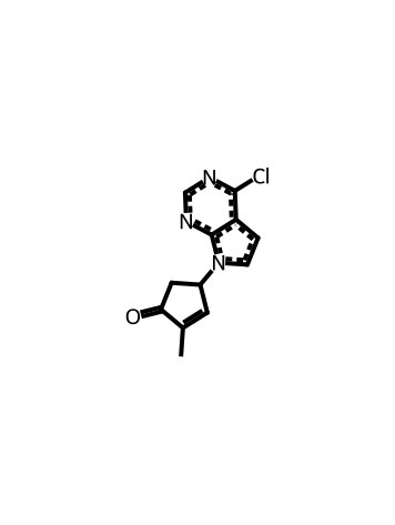 CC1=CC(n2ccc3c(Cl)ncnc32)CC1=O